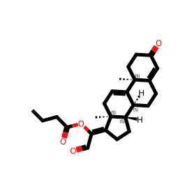 CCCC(=O)OC(C=O)=C1CC[C@H]2[C@@H]3CCC4=CC(=O)CC[C@]4(C)C3=CC[C@]12C